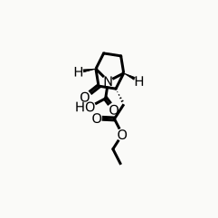 CCOC(=O)C[C@@H]1C(=O)[C@@H]2CC[C@H]1N2C(=O)O